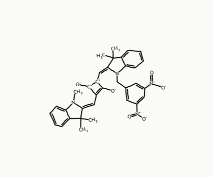 CN1C(=Cc2c([O-])[c+](C=C3N(Cc4cc([N+](=O)[O-])cc([N+](=O)[O-])c4)c4ccccc4C3(C)C)[c+]2[O-])C(C)(C)c2ccccc21